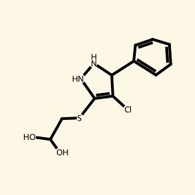 OC(O)CSC1=C(Cl)C(c2ccccc2)NN1